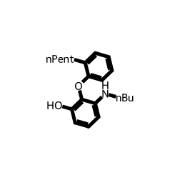 CCCCCc1ccccc1Oc1c(O)cccc1NCCCC